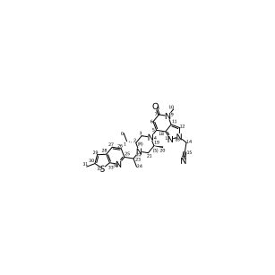 CC[C@@H]1CN(c2cc(=O)n(C)c3cn(CC#N)nc23)[C@@H](C)CN1C(C)c1ccc2cc(C)sc2n1